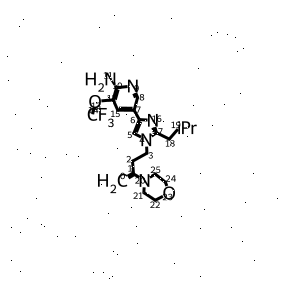 C=C(CCn1cc(-c2cnc(N)c(OC(F)(F)F)c2)nc1CC(C)C)N1CCOCC1